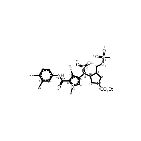 CCOC(=O)N1CC(COS(C)(=O)=O)C(N(c2cn(C)c(C(=O)Nc3ccc(F)c(C)c3)c2F)[SH](=O)=O)C1